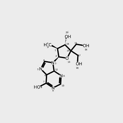 C[C@@H]1[C@H](N2C=NC3C(O)=NC=NC32)OC(CO)(CO)[C@H]1O